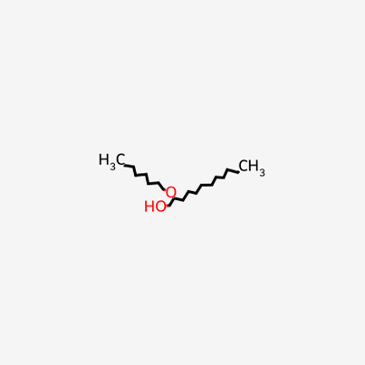 CCCCCCCCCCC(CO)OCCCCCCCC